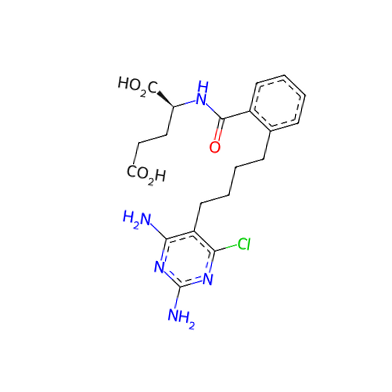 Nc1nc(N)c(CCCCc2ccccc2C(=O)N[C@@H](CCC(=O)O)C(=O)O)c(Cl)n1